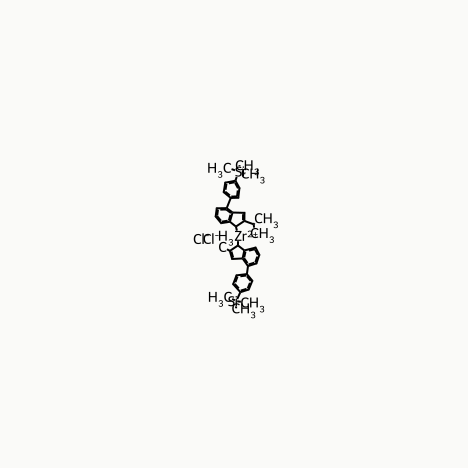 CC1=Cc2c(-c3ccc([Si](C)(C)C)cc3)cccc2[CH]1[Zr+2][CH]1C(C(C)C)=Cc2c(-c3ccc([Si](C)(C)C)cc3)cccc21.[Cl-].[Cl-]